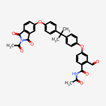 CC(=O)NC(=O)c1ccc(Oc2ccc(C(C)(C)c3ccc(Oc4ccc5c(c4)C(=O)N(C(C)=O)C5=O)cc3)cc2)cc1C=O